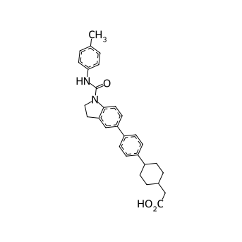 Cc1ccc(NC(=O)N2CCc3cc(-c4ccc(C5CCC(CC(=O)O)CC5)cc4)ccc32)cc1